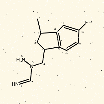 CC1CC(CN(N)C=N)c2ccc(F)cc21